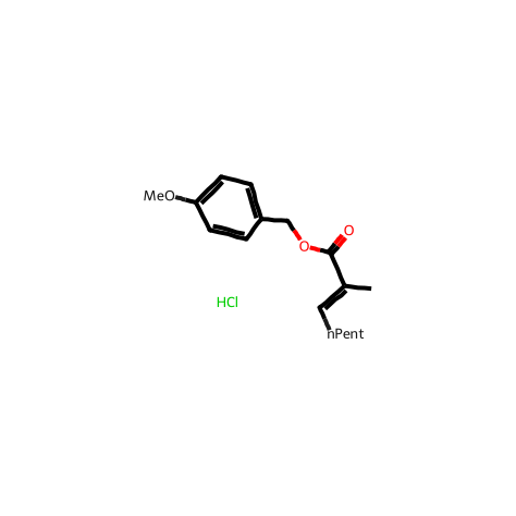 CCCCCC=C(C)C(=O)OCc1ccc(OC)cc1.Cl